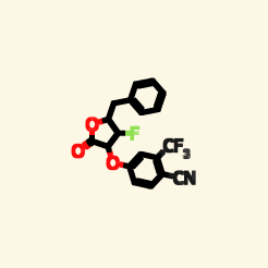 N#Cc1ccc(OC2C(=O)OC(Cc3ccccc3)C2F)cc1C(F)(F)F